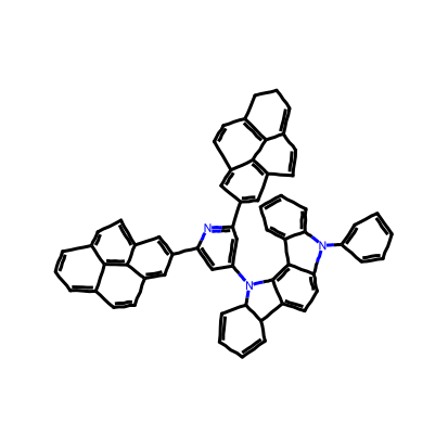 C1=CC2c3ccc4c(c3N(c3cc(-c5cc6ccc7c8c(ccc(c5)c68)=CCC7)nc(-c5cc6ccc7cccc8ccc(c5)c6c78)c3)C2C=C1)c1ccccc1n4-c1ccccc1